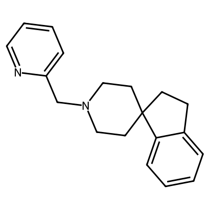 c1ccc(CN2CCC3(CCc4ccccc43)CC2)nc1